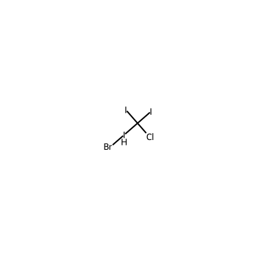 ClC(I)(I)[IH]Br